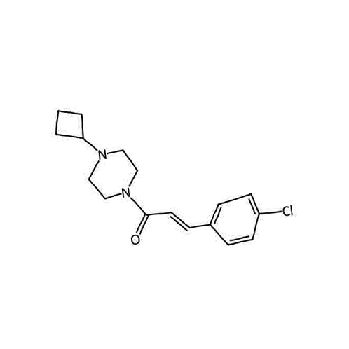 O=C(/C=C/c1ccc(Cl)cc1)N1CCN(C2CCC2)CC1